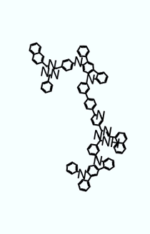 c1ccc(-c2nc(-c3ccc(-n4c5ccccc5c5cc6c7ccccc7n(-c7cccc(-c8ccc(-c9ccc(C%10=NC(c%11cccc(-n%12c%13ccccc%13c%13cc%14c%15ccccc%15n(-c%15ccccc%15)c%14cc%13%12)c%11)NC(c%11cccc%12ccccc%11%12)=N%10)cn9)cc8)c7)c6cc54)cc3)nc(-c3ccc4ccccc4c3)n2)cc1